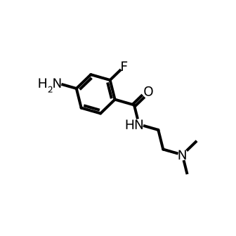 CN(C)CCNC(=O)c1ccc(N)cc1F